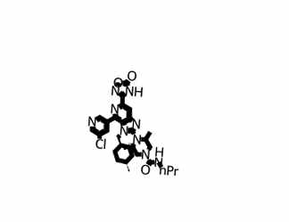 CCCNC(=O)N1CC(C)N(c2nc3cc(-c4noc(=O)[nH]4)nc(-c4cncc(Cl)c4)c3n2C[C@H]2CC[C@H](C)CC2)[C@H](C)C1